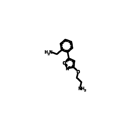 NCCOc1cc(-c2ccccc2CN)on1